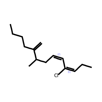 C=C(CCCC)C(C)C/C=C\C(Cl)=C/CC